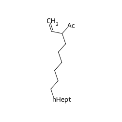 C=CC(CCCCCCCCCCCCC)C(C)=O